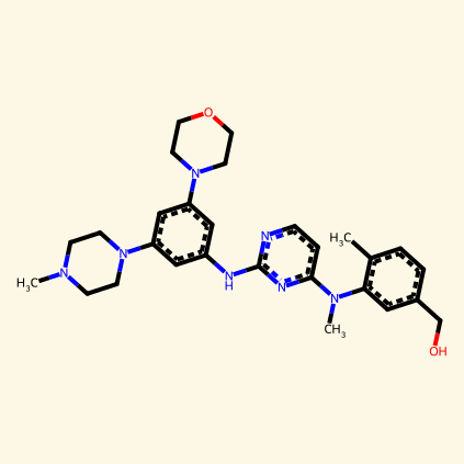 Cc1ccc(CO)cc1N(C)c1ccnc(Nc2cc(N3CCOCC3)cc(N3CCN(C)CC3)c2)n1